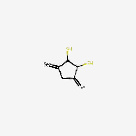 SC1C(=[Se])CC(=[Se])C1S